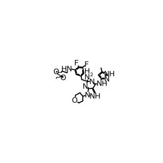 Cc1cc(NC2=NC(N)(Cc3cc(F)c(F)c(NCCS(C)(=O)=O)c3)N=C3C2=CNN3C2CCOCC2)n[nH]1